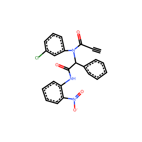 C#CC(=O)N(c1cccc(Cl)c1)C(C(=O)Nc1ccccc1[N+](=O)[O-])c1ccccc1